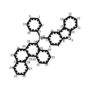 c1ccc(N(c2ccc3sc4ccccc4c3c2)c2cc3ccc4ccccc4c3c3ccccc23)cc1